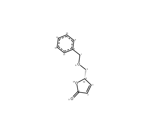 O=C1C=C[C@@H](COCc2ccccc2)O1